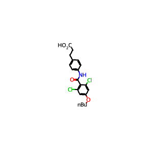 CCCCOc1cc(Cl)c(C(=O)Nc2ccc(CCC(=O)O)cc2)c(Cl)c1